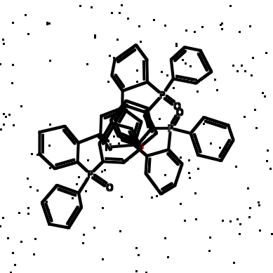 O=P(c1ccccc1)(c1ccccc1)c1ccccc1-c1cc(-c2ccccc2P(=O)(c2ccccc2)c2ccccc2)nc(-c2ccccc2P(=O)(c2ccccc2)c2ccccc2)c1